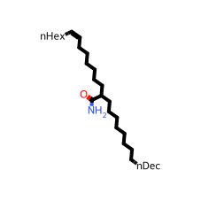 CCCCCC/C=C\CCCCCCC(CCCCCCCCCCCCCCCCCC)C(N)=O